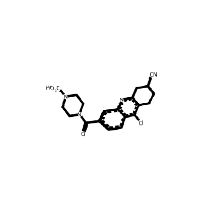 N#CC1CCc2c(nc3cc(C(=O)N4CCN(C(=O)O)CC4)ccc3c2Cl)C1